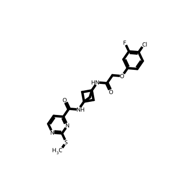 CSc1nccc(C(=O)NC23CC(NC(=O)COc4ccc(Cl)c(F)c4)(C2)C3)n1